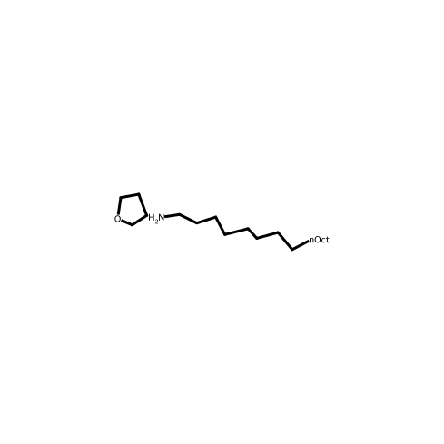 C1CCOC1.CCCCCCCCCCCCCCCCN